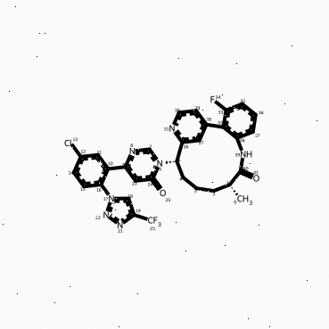 C[C@@H]1CCC[C@H](n2cnc(-c3cc(Cl)ccc3-n3cc(C(F)(F)F)nn3)cc2=O)c2cc(ccn2)-c2c(F)cccc2NC1=O